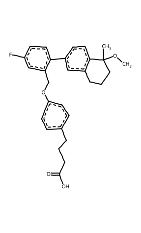 COC1(C)CCCc2cc(-c3ccc(F)cc3COc3ccc(CCCC(=O)O)cc3)ccc21